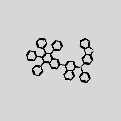 c1ccc(-c2c(-c3ccccc3)c(-c3ccccc3)c3cc(-c4ccc(N(c5ccccc5)c5ccc6oc7ccccc7c6c5)c5ccccc45)ccc3c2-c2ccccc2)cc1